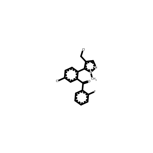 Cn1ncc(CCl)c1-c1ccc(Cl)cc1C(=O)c1ccccc1F